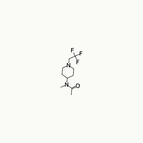 CC(=O)N(C)C1CCN(CC(F)(F)F)CC1